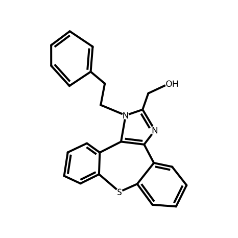 OCc1nc2c(n1CCc1ccccc1)-c1ccccc1Sc1ccccc1-2